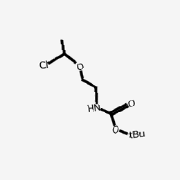 CC(Cl)OCCNC(=O)OC(C)(C)C